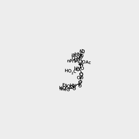 CCCC(=O)OCN(C(=O)[C@@H](NC(=O)[C@H]1CCCCN1C)[C@@H](C)CC)[C@H](C[C@@H](OC(C)=O)c1nc(C(=O)N[C@@H](Cc2ccc(OC(=O)[C@H]3CCN(C(=O)CCNC(=O)OCC(OC)OC(CC)CO)C3)cc2)C[C@H](C)C(=O)O)cs1)C(C)C